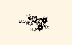 CCNc1ccc(N)cc1N=C1S/C(=C(\C)N(C)/C(=C\S)C(=O)OCC)C(=O)N1Cc1ccccc1